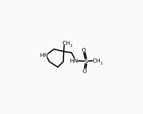 CC1(CNS(C)(=O)=O)CCCNC1